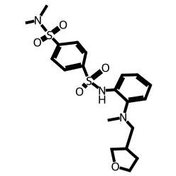 CN(CC1CCOC1)c1ccccc1NS(=O)(=O)c1ccc(S(=O)(=O)N(C)C)cc1